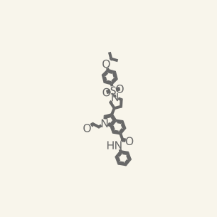 CC(C)Oc1ccc(S(=O)(=O)N2CCC(c3cn(CC=O)c4cc(C(=O)Nc5ccccc5)ccc34)C2)cc1